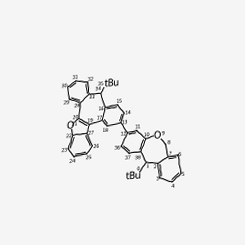 CC(C)(C)C1c2ccccc2COc2cc(-c3ccc4c(c3)-c3c(oc5ccccc35)-c3ccccc3C4C(C)(C)C)ccc21